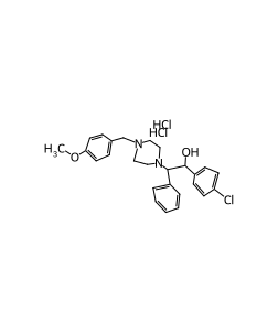 COc1ccc(CN2CCN(C(c3ccccc3)C(O)c3ccc(Cl)cc3)CC2)cc1.Cl.Cl